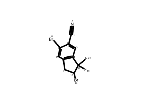 N#Cc1cc2c(cc1Br)CC(Br)C2(F)F